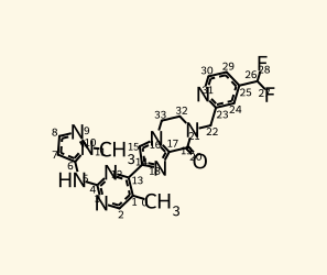 Cc1cnc(Nc2ccnn2C)nc1-c1cn2c(n1)C(=O)N(Cc1cc(C(F)F)ccn1)CC2